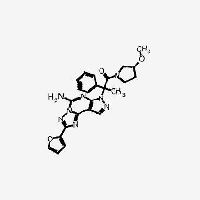 CO[C@H]1CCN(C(=O)C(C)(c2ccccc2)n2ncc3c2nc(N)n2nc(-c4ccco4)nc32)C1